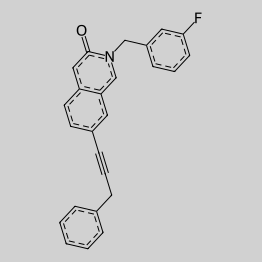 O=c1cc2ccc(C#CCc3ccccc3)cc2cn1Cc1cccc(F)c1